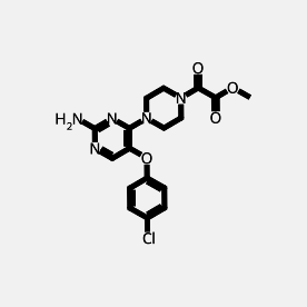 COC(=O)C(=O)N1CCN(c2nc(N)ncc2Oc2ccc(Cl)cc2)CC1